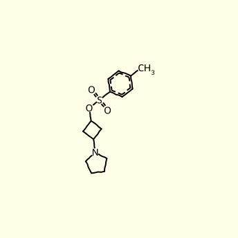 Cc1ccc(S(=O)(=O)OC2CC(N3CCCC3)C2)cc1